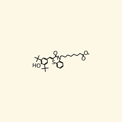 COC(=O)CCCCCCCN1C(=O)C(=Cc2cc(C(C)(C)C)c(O)c(C(C)(C)C)c2)Sc2ccccc21